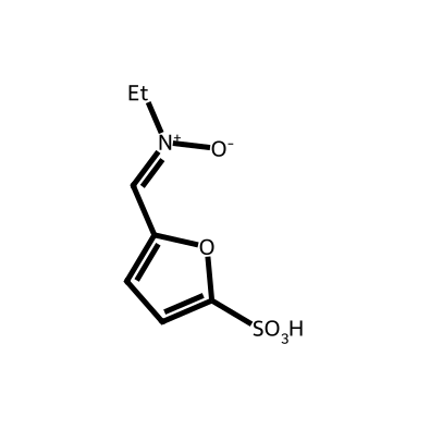 CC[N+]([O-])=Cc1ccc(S(=O)(=O)O)o1